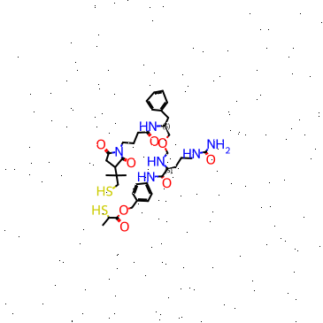 CC(S)C(=O)OCc1ccc(NC(=O)[C@H](CCCNC(N)=O)NCOC[C@H](Cc2ccccc2)NC(=O)CCCN2C(=O)CC(C(C)(C)CS)C2=O)cc1